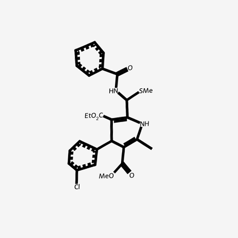 CCOC(=O)C1=C(C(NC(=O)c2ccccc2)SC)NC(C)=C(C(=O)OC)C1c1cccc(Cl)c1